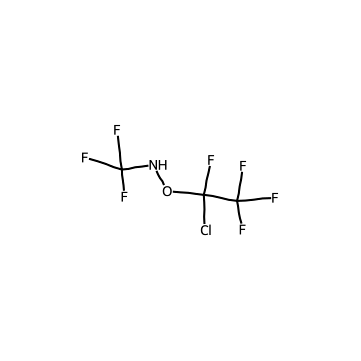 FC(F)(F)NOC(F)(Cl)C(F)(F)F